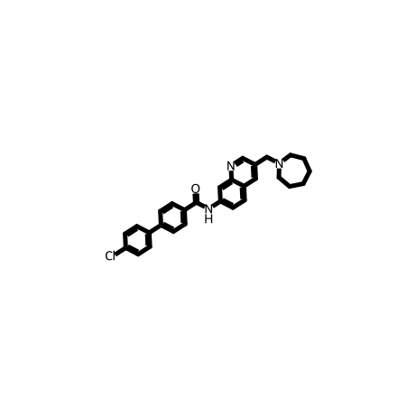 O=C(Nc1ccc2cc(CN3CCCCCC3)cnc2c1)c1ccc(-c2ccc(Cl)cc2)cc1